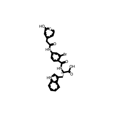 O=C(Cc1cccc(O)c1)Nc1ccc(C(=O)N[C@@H](Cc2c[nH]c3ccccc23)C(=O)O)c(Br)c1